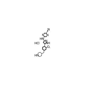 COc1cc(CC2CCNCC2)ccc1-c1cc(Nc2cnc(C#N)cn2)n[nH]1.Cl